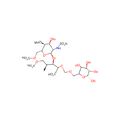 CO[C@@H]1C(COS(=O)(=O)O)O[C@H](O[C@@H](C(OCOCC2O[C@@H](O)C(O)[C@H](O)[C@@H]2O)C(=O)O)[C@@H](C)COS(=O)(=O)O)C(NS(=O)(=O)O)[C@@H]1O